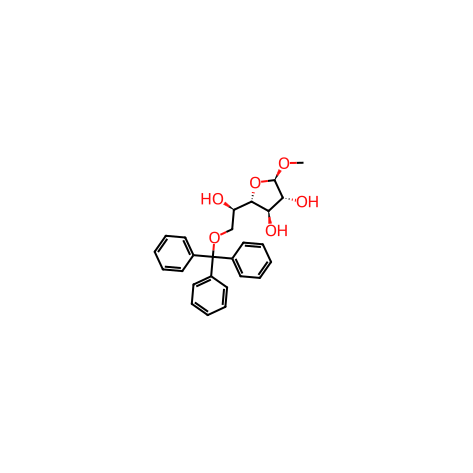 CO[C@@H]1O[C@@H]([C@H](O)COC(c2ccccc2)(c2ccccc2)c2ccccc2)[C@H](O)[C@H]1O